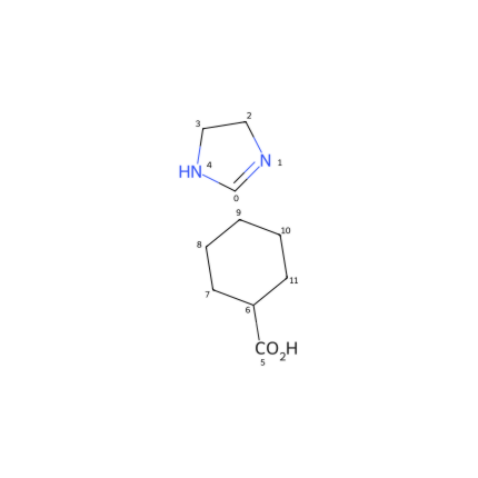 C1=NCCN1.O=C(O)C1CCCCC1